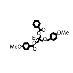 CCC(COCc1ccc(OC)cc1)(COC(=O)c1ccccc1)COC(=O)c1ccc(OC)cc1